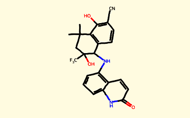 CC1(C)CC(O)(C(F)(F)F)C(Nc2cccc3[nH]c(=O)ccc23)c2ccc(C#N)c(O)c21